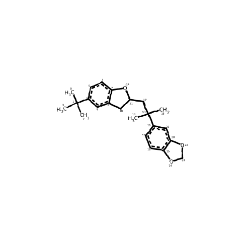 CC(C)(C)c1ccc2c(c1)CC(CC(C)(C)c1ccc3c(c1)OCO3)O2